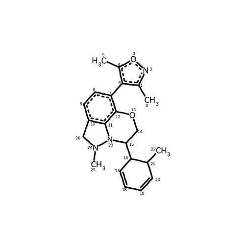 Cc1noc(C)c1-c1ccc2c3c1OCC(C1C=CC=CC1C)N3N(C)C2